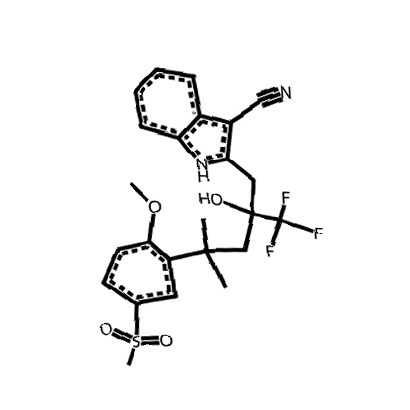 COc1ccc(S(C)(=O)=O)cc1C(C)(C)CC(O)(Cc1[nH]c2ccccc2c1C#N)C(F)(F)F